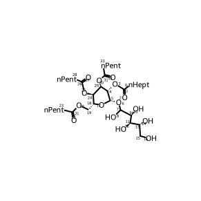 CCCCCCCC(=O)O[C@@H]1[C@H](OC(O)[C@@H](O)[C@H](O)[C@H](O)CO)O[C@H](COC(=O)CCCCC)[C@@H](OC(=O)CCCCC)[C@@H]1OC(=O)CCCCC